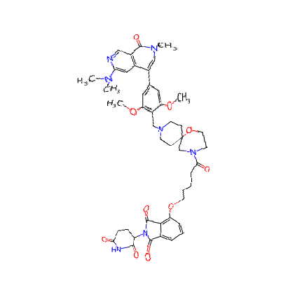 COc1cc(-c2cn(C)c(=O)c3cnc(N(C)C)cc23)cc(OC)c1CN1CCC2(CC1)CN(C(=O)CCCCOc1cccc3c1C(=O)N(C1CCC(=O)NC1=O)C3=O)CCO2